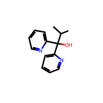 CC(C)C(O)(c1ccccn1)c1ccccn1